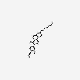 CCCCCCCc1ccc2c(ccc3c(F)c(-c4ccc(C#N)c(F)c4)ccc32)c1